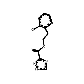 O=C(OCCc1ncccc1Cl)c1nc[nH]n1